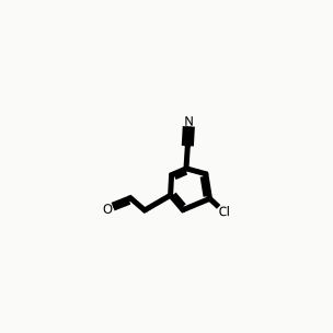 N#Cc1cc(Cl)cc(CC=O)c1